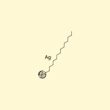 CCCCCCCCCCCCCC[C]12[CH]3[CH]4[CH]5[CH]1[Fe]45321678[CH]2[CH]1[CH]6[CH]7[CH]28.[Ag]